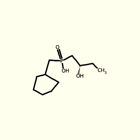 CC[C@H](O)CP(=O)(O)CC1CCCCC1